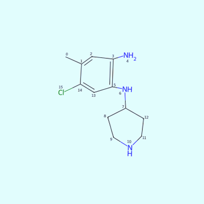 Cc1cc(N)c(NC2CCNCC2)cc1Cl